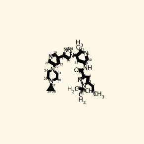 CCCc1cc(C(=O)Nc2cnc(C)c(-n3cc(-c4cncc(N5CCN(C6CC6)CC5)c4)nn3)c2)nn1C(C)(C)C